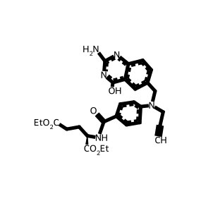 C#CCN(Cc1ccc2nc(N)nc(O)c2c1)c1ccc(C(=O)N[C@H](CCC(=O)OCC)C(=O)OCC)cc1